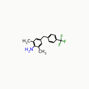 Cc1cc(Cc2ccc(C(F)(F)F)cc2)cc(C)c1N